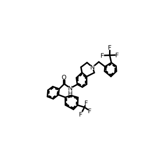 O=C(Nc1ccc2c(c1)CCN(Cc1ccccc1C(F)(F)F)C2)c1ccccc1-c1ccc(C(F)(F)F)cc1